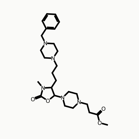 COC(=O)CCN1CCN(C2OC(=O)N(C)C2CCCN2CCN(Cc3ccccc3)CC2)CC1